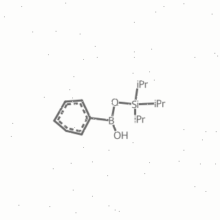 CC(C)[Si](OB(O)c1ccccc1)(C(C)C)C(C)C